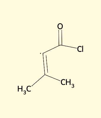 CC(C)=[C]C(=O)Cl